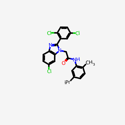 Cc1ccc(C(C)C)cc1NC(=O)Cn1c(-c2cc(Cl)ccc2Cl)nc2ccc(Cl)cc21